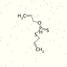 C=CCO[PH](=S)SCC=C